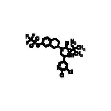 CC(C)(C)OC(=O)N(C[C@@H](O)c1cnc(Cl)c(Cl)c1)[C@H]1CCc2ccc(OS(=O)(=O)C(F)(F)F)cc2C1